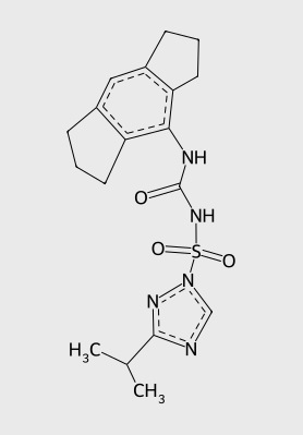 CC(C)c1ncn(S(=O)(=O)NC(=O)Nc2c3c(cc4c2CCC4)CCC3)n1